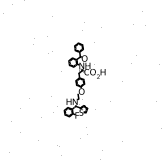 O=C(c1ccccc1)c1ccccc1N[C@@H](Cc1ccc(OCCNC(c2cccs2)c2ccccc2F)cc1)C(=O)O